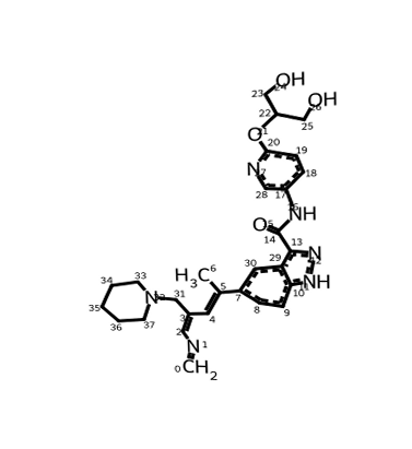 C=N/C=C(\C=C(/C)c1ccc2[nH]nc(C(=O)Nc3ccc(OC(CO)CO)nc3)c2c1)CN1CCCCC1